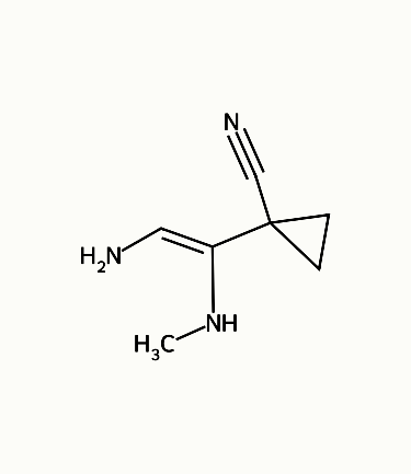 CN/C(=C\N)C1(C#N)CC1